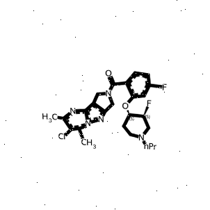 CCCN1CC[C@H](Oc2cc(F)ccc2C(=O)N2Cc3nn4c(C)c(Cl)c(C)nc4c3C2)[C@@H](F)C1